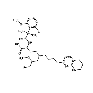 COc1cccc(Cl)c1C(C)(C)C(=O)NC(CCN(CCCCc1ccc2c(n1)NCCC2)CC(CF)OC)C(=O)O